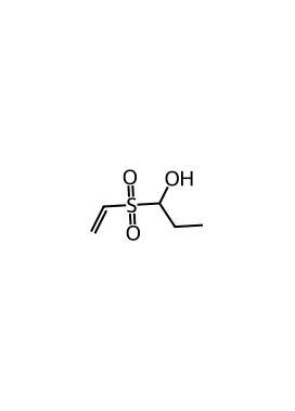 C=CS(=O)(=O)C(O)CC